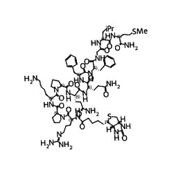 CSCC[C@H](NC(=O)[C@H](CC(C)C)NC(=O)CNC(=O)[C@H](Cc1ccccc1)NC(=O)[C@H](Cc1ccccc1)NC(=O)[C@H](CCC(N)=O)NC(=O)[C@H](CCC(N)=O)NC(=O)[C@@H]1CCCN1C(=O)[C@H](CCCCN)NC(=O)[C@@H]1CCCN1C(=O)[C@H](CCCN=C(N)N)NC(=O)CCCC[C@@H]1SC[C@@H]2NC(=O)N[C@@H]21)C(N)=O